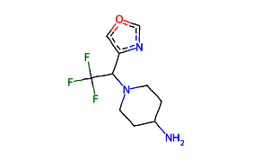 NC1CCN(C(c2cocn2)C(F)(F)F)CC1